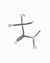 CCN(C)C(=O)C(F)(Br)C#N